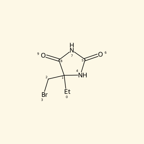 CCC1(CBr)NC(=O)NC1=O